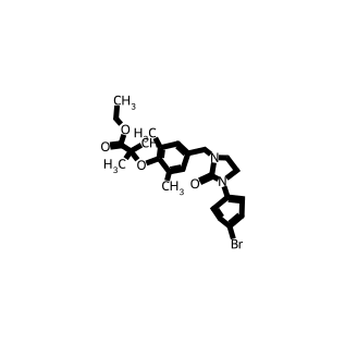 CCOC(=O)C(C)(C)Oc1c(C)cc(CN2CCN(c3ccc(Br)cc3)C2=O)cc1C